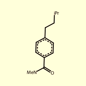 CNC(=O)c1ccc(CCC(C)C)cc1